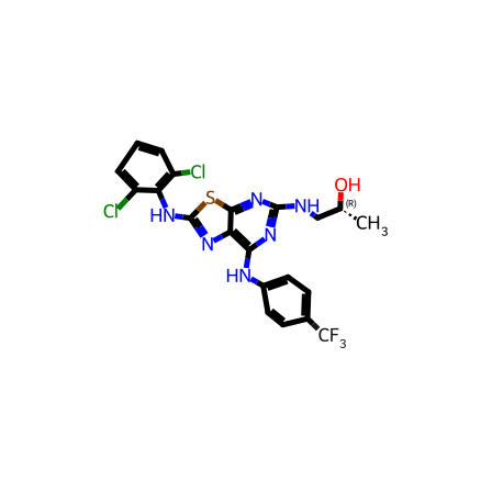 C[C@@H](O)CNc1nc(Nc2ccc(C(F)(F)F)cc2)c2nc(Nc3c(Cl)cccc3Cl)sc2n1